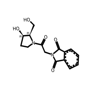 O=C1c2ccccc2C(=O)N1CC(=O)N1CC[C@@H](O)[C@H]1CO